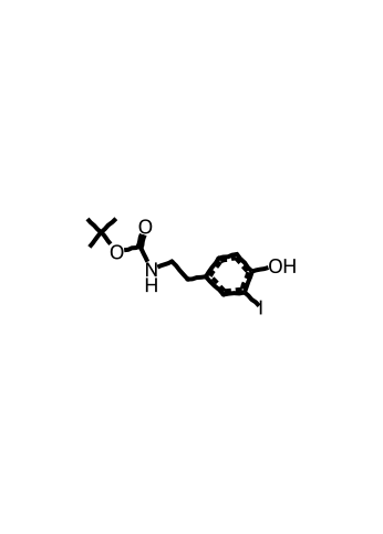 CC(C)(C)OC(=O)NCCc1ccc(O)c(I)c1